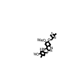 COc1cc2c(Nc3cc(O)c(C)cc3F)cnnc2cc1OCc1csc(C)n1